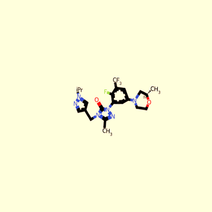 Cc1nn(-c2cc(N3CCO[C@@H](C)C3)cc(C(F)(F)F)c2F)c(=O)n1Cc1cnn(C(C)C)c1